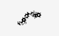 CC(C)NC(=O)c1ccc(N2CCC3(CC2)C[C@H]3CCN(C)C(=O)C(O)(C2C=CC=CC2)C(F)(F)F)cc1Cl